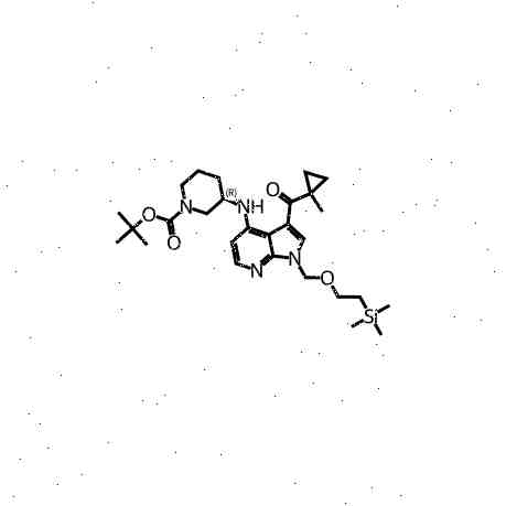 CC(C)(C)OC(=O)N1CCC[C@@H](Nc2ccnc3c2c(C(=O)C2(C)CC2)cn3COCC[Si](C)(C)C)C1